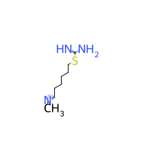 C/N=C/CCCCCSC(=N)N